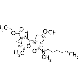 C=CCCCCN(C)C(=O)[C@@H]1C[C@H](OO)C[C@H]1C(=O)N[C@]1(C(=O)OCC)C[C@H]1C=C